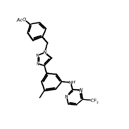 CC(=O)Oc1ccc(Cn2cc(-c3cc(C)cc(Nc4nccc(C(F)(F)F)n4)c3)nn2)cc1